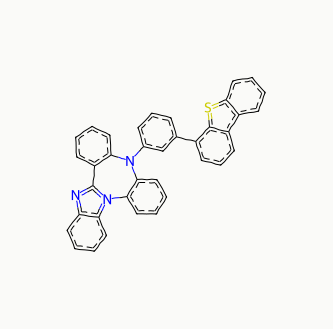 c1cc(-c2cccc3c2sc2ccccc23)cc(N2c3ccccc3-c3nc4ccccc4n3-c3ccccc32)c1